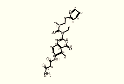 CCN(C(=O)N(C)CCc1ccccn1)c1nc2ccc(NC(=O)CC(N)=O)c(C)c2c(=O)o1